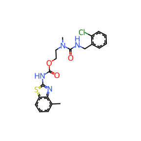 Cc1cccc2sc(NC(=O)OCCN(C)C(=O)NCc3ccccc3Cl)nc12